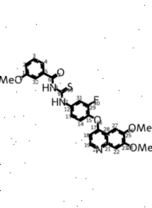 COc1cccc(C(=O)NC(=S)Nc2ccc(Oc3ccnc4cc(OC)c(OC)cc34)c(F)c2)c1